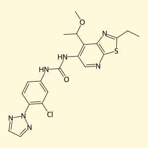 CCc1nc2c(C(C)OC)c(NC(=O)Nc3ccc(-n4nccn4)c(Cl)c3)cnc2s1